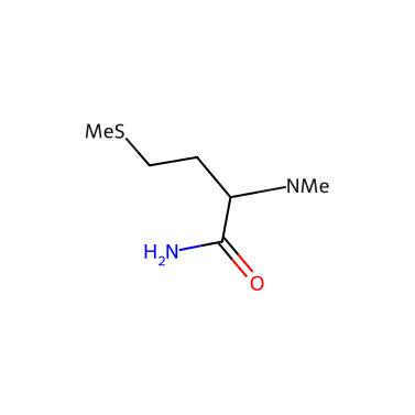 CNC(CCSC)C(N)=O